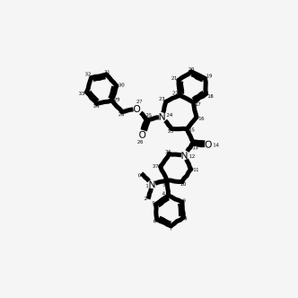 CN(C)C1(c2ccccc2)CCN(C(=O)C2Cc3ccccc3CN(C(=O)OCc3ccccc3)C2)CC1